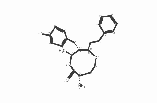 C[C@@H]1OC(=O)[C@@H](N)CCO[C@H](CCc2ccccc2)[C@H]1Cc1ccc(F)cc1